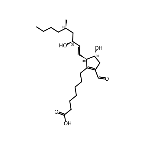 CCCC[C@@H](C)C[C@H](O)C=C[C@@H]1C(CCCCCCC(=O)O)=C(C=O)C[C@H]1O